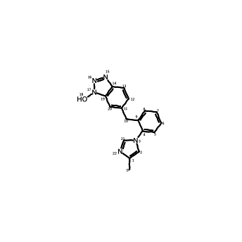 Cc1cn(-c2ccccc2Cc2ccc3nnn(O)c3c2)cn1